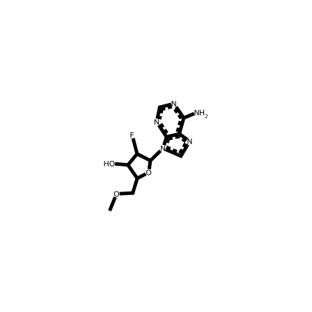 COCC1OC(n2cnc3c(N)ncnc32)C(F)C1O